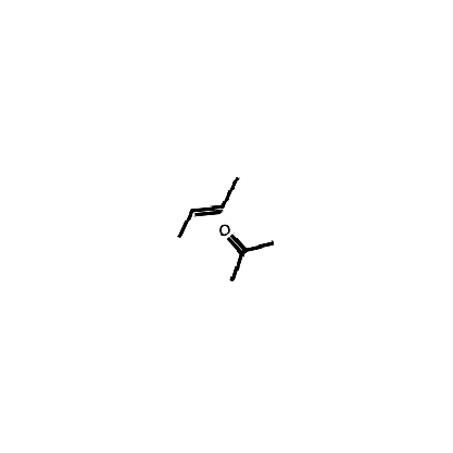 CC(C)=O.CC=CC